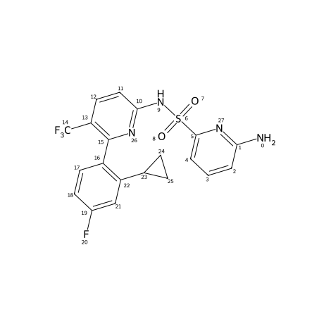 Nc1cccc(S(=O)(=O)Nc2ccc(C(F)(F)F)c(-c3ccc(F)cc3C3CC3)n2)n1